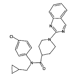 O=C(C1CCN(c2ncc3ccccc3n2)CC1)N(CC1CC1)c1ccc(Cl)cc1